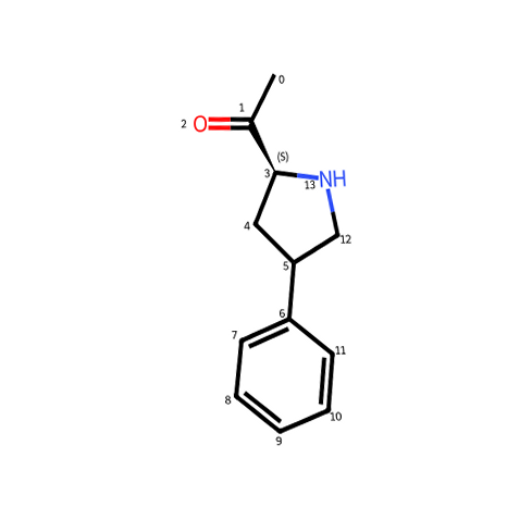 CC(=O)[C@@H]1CC(c2ccccc2)CN1